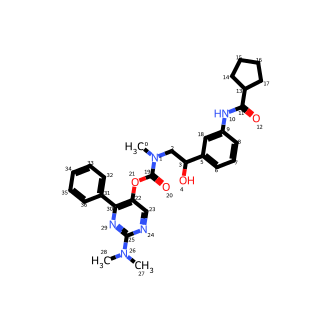 CN(CC(O)c1cccc(NC(=O)C2CCCC2)c1)C(=O)Oc1cnc(N(C)C)nc1-c1ccccc1